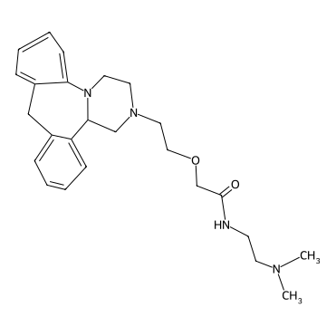 CN(C)CCNC(=O)COCCN1CCN2c3ccccc3Cc3ccccc3C2C1